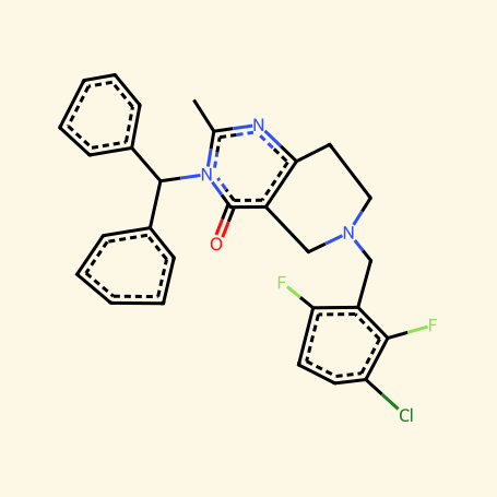 Cc1nc2c(c(=O)n1C(c1ccccc1)c1ccccc1)CN(Cc1c(F)ccc(Cl)c1F)CC2